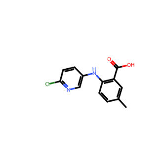 Cc1ccc(Nc2ccc(Cl)nc2)c(C(=O)O)c1